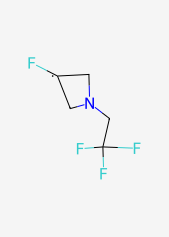 F[C]1CN(CC(F)(F)F)C1